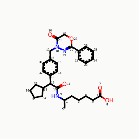 CC(CCCCC(=O)O)NC(=O)C(c1ccc(CN2N=C(c3ccccc3)OCC2=O)cc1)C1CCCC1